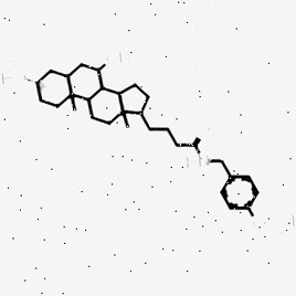 CC12CCC3C(C(O)CC4C[C@H](O)CCC43C)C1CCC2CCCC(=O)NCc1ccc(C(=O)O)cc1